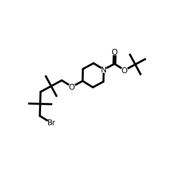 CC(C)(CBr)CC(C)(C)COC1CCN(C(=O)OC(C)(C)C)CC1